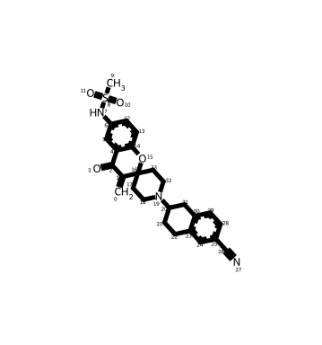 C=C1C(=O)c2cc(NS(C)(=O)=O)ccc2OC12CCN(C1CCc3cc(C#N)ccc3C1)CC2